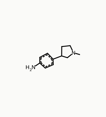 CN1CCC(c2ccc(N)cc2)C1